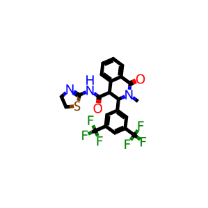 CN1C(=O)c2ccccc2C(C(=O)NC2=NCCS2)C1c1cc(C(F)(F)F)cc(C(F)(F)F)c1